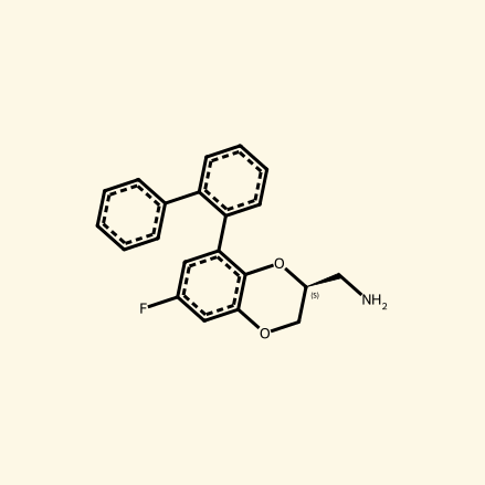 NC[C@H]1COc2cc(F)cc(-c3ccccc3-c3ccccc3)c2O1